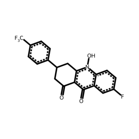 O=C1CC(c2ccc(C(F)(F)F)cc2)Cc2c1c(=O)c1cc(F)ccc1n2O